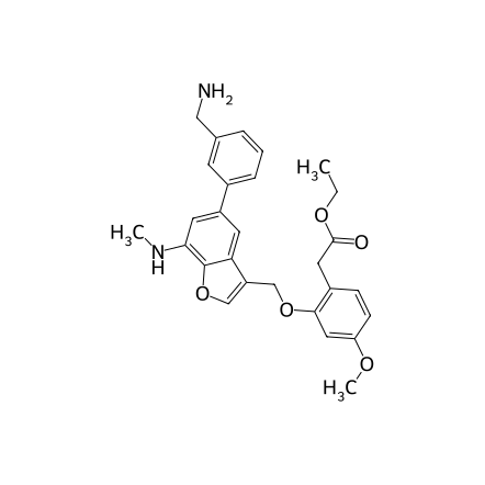 CCOC(=O)Cc1ccc(OC)cc1OCc1coc2c(NC)cc(-c3cccc(CN)c3)cc12